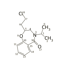 CC(C)N1CC(CCCl)Oc2ccccc2C1=O